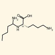 CCCCC(N)N[C@@H](CCCCN)C(=O)O